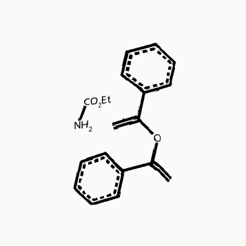 C=C(OC(=C)c1ccccc1)c1ccccc1.CCOC(N)=O